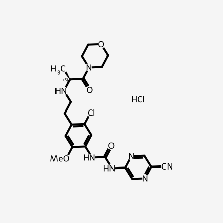 COc1cc(CCN[C@@H](C)C(=O)N2CCOCC2)c(Cl)cc1NC(=O)Nc1cnc(C#N)cn1.Cl